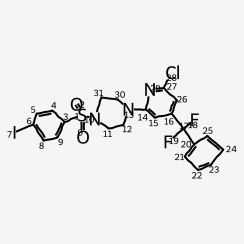 O=S(=O)(c1ccc(I)cc1)N1CCN(c2cc(C(F)(F)c3ccccc3)cc(Cl)n2)CC1